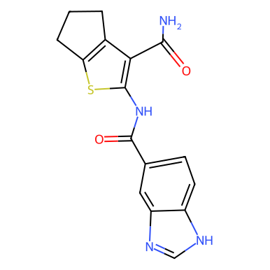 NC(=O)c1c(NC(=O)c2ccc3[nH]cnc3c2)sc2c1CCC2